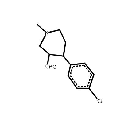 CN1CCC(c2ccc(Cl)cc2)C(C=O)C1